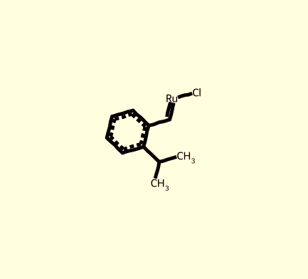 CC(C)c1ccccc1[CH]=[Ru][Cl]